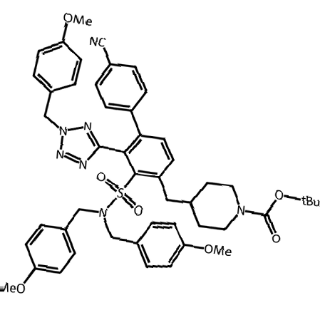 COc1ccc(CN(Cc2ccc(OC)cc2)S(=O)(=O)c2c(CC3CCN(C(=O)OC(C)(C)C)CC3)ccc(-c3ccc(C#N)cc3)c2-c2nnn(Cc3ccc(OC)cc3)n2)cc1